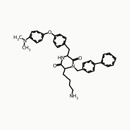 CN(C)c1ccc(Oc2ccc(CC3NC(=O)C(CCCCN)N(Cc4ccc(-c5ccccc5)cc4)C3=O)cc2)cc1